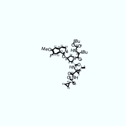 C=C[C@@H]1C[C@]1(NC(=O)[C@@H]1C[C@@H](Oc2nccc3cc(OC)c(F)cc23)CN1C(=O)[C@@H](NC(=O)OC(C)(C)C)C(C)(C)C)C(=O)NS(=O)(=O)C1CC1